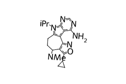 CNC1CCc2c(c3c(N)ncnc3n2C(C)C)-c2noc(C3CC3)c21